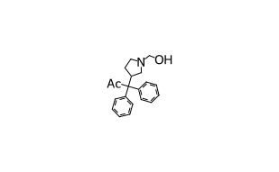 CC(=O)C(c1ccccc1)(c1ccccc1)C1CCN(CO)C1